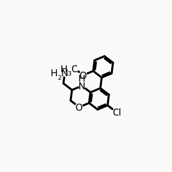 COc1ccccc1-c1cc(Cl)cc2c1NC(CN)CO2